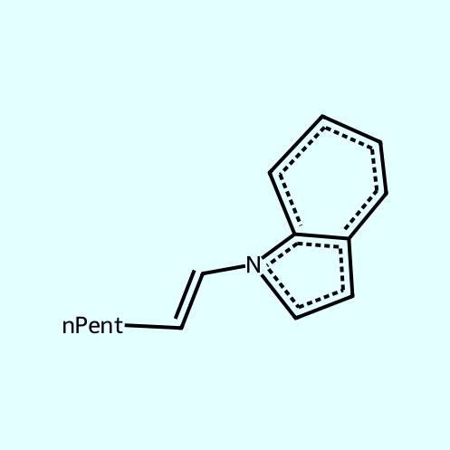 CCCCCC=Cn1ccc2ccccc21